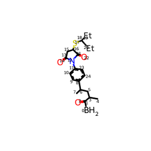 BC(=O)C(C)CC(C)c1ccc(N2C(=O)CC(SC(CC)CC)C2=O)cc1